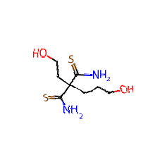 NC(=S)C(CCO)(CCCO)C(N)=S